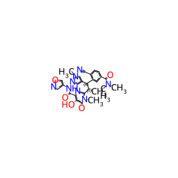 C[C@H](c1nc(C(=O)Nc2cnoc2)c(O)c(=O)n1C)[C@@H](c1cnn(C)c1)c1cc(C(=O)N(C)C)ccc1C#N